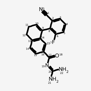 N#Cc1cccc(F)c1C1=CCCc2ccc(C(=O)N=C(N)N)cc21